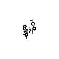 COc1cc(C)c(S(=O)(=O)N2CCn3cccc3C2COC(C)C(=O)NC2CCCC(N3CCC(N(C)C)CC3)C2)c(C)c1